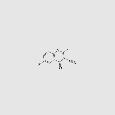 Cc1[nH]c2ccc(F)cc2c(=O)c1C#N